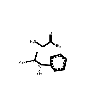 CN[C@@H](C)[C@@H](O)c1ccccc1.NCC(N)=O